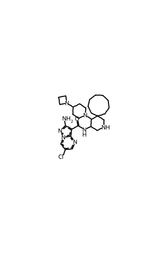 Nc1nn2cc(Cl)cnc2c1C(=O)NC1CNCC2(CCCCCCCC2)C1N1CCC(N2CCC2)CC1